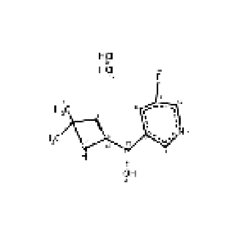 CC1(C)C[C@@H]([C@@H](O)c2cncc(F)c2)N1.Cl.Cl